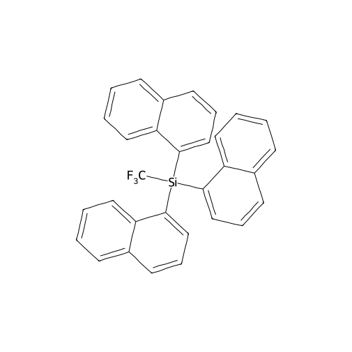 FC(F)(F)[Si](c1cccc2ccccc12)(c1cccc2ccccc12)c1cccc2ccccc12